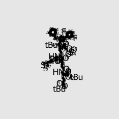 CC(C)(C)OC(=O)CC[C@@H](NC(=O)CCNC(=O)[C@H](CCN(C(=O)COS(C)(=O)=O)[C@@H](c1cc(-c2cc(F)ccc2F)cn1Cc1ccccc1)C(C)(C)C)NC(=O)OCC[Si](C)(C)C)C(=O)OC(C)(C)C